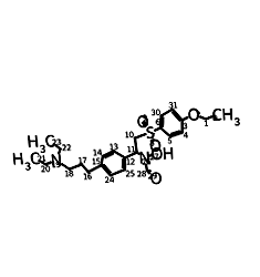 CCOc1ccc(S(=O)(=O)CC(c2ccc(CCCN(CC)CC)cc2)N(O)C=O)cc1